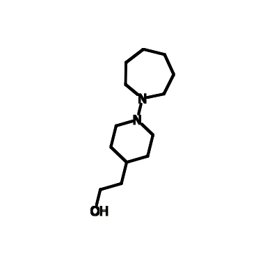 OCCC1CCN(N2CCCCCC2)CC1